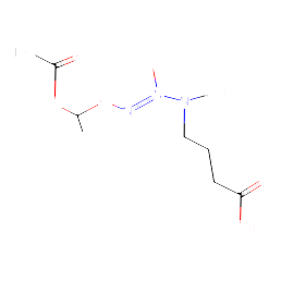 CC(=O)OC(C)ON=[N+]([O-])N(C)CCCC(=O)O